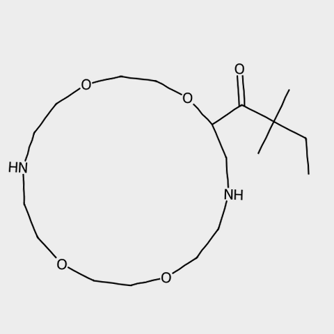 CCC(C)(C)C(=O)C1CNCCOCCOCCNCCOCCO1